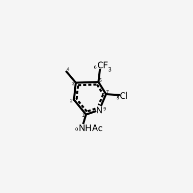 CC(=O)Nc1cc(C)c(C(F)(F)F)c(Cl)n1